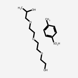 CC(O)COCCOCCOCCO.Cc1ccc(S(=O)(=O)O)cc1